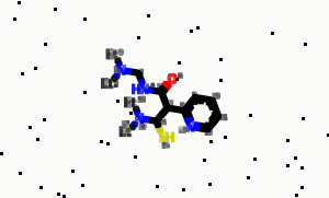 CCN(CC)CNC(=O)C(c1ccccn1)C(S)N(CC)CC